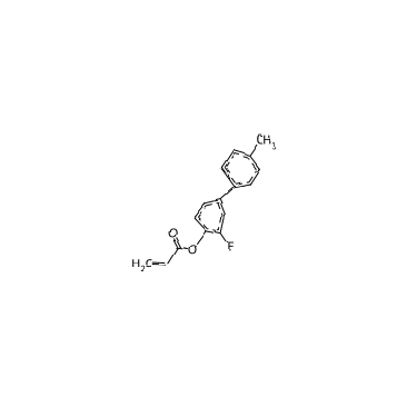 C=CC(=O)Oc1ccc(-c2ccc(C)cc2)cc1F